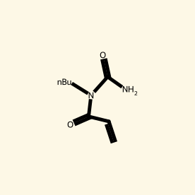 C=CC(=O)N(CCCC)C(N)=O